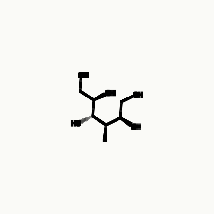 C[C@@H]([C@H](O)[C@H](O)CO)[C@H](O)CO